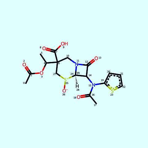 CC(=O)OC(C)C1(C(=O)O)CN2C(=O)C(N(C(C)=O)c3cccs3)[C@H]2[S+]([O-])C1